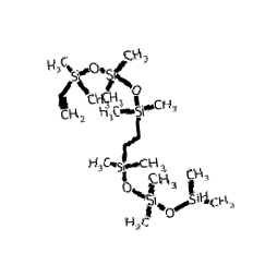 C=C[Si](C)(C)O[Si](C)(C)O[Si](C)(C)CC[Si](C)(C)O[Si](C)(C)O[SiH](C)C